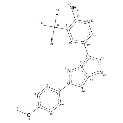 COc1ccc(-c2nn3c(-c4cnc(N)c(C(C)(F)F)c4)cnc3s2)cc1